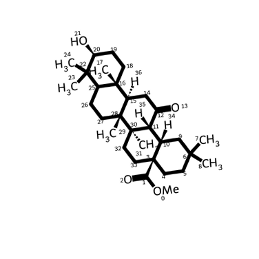 COC(=O)[C@]12CCC(C)(C)C[C@H]1[C@H]1C(=O)C[C@@H]3[C@@]4(C)CC[C@H](O)C(C)(C)C4CC[C@@]3(C)[C@]1(C)CC2